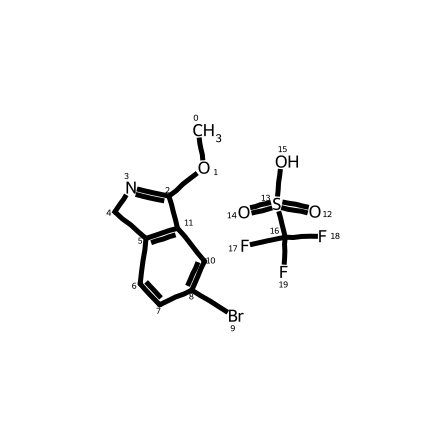 COC1=NCc2ccc(Br)cc21.O=S(=O)(O)C(F)(F)F